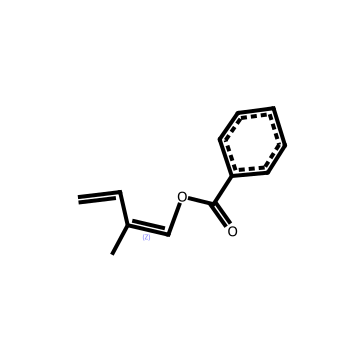 C=C/C(C)=C\OC(=O)c1ccccc1